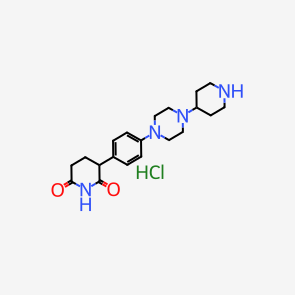 Cl.O=C1CCC(c2ccc(N3CCN(C4CCNCC4)CC3)cc2)C(=O)N1